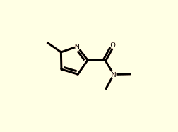 CC1C=CC(C(=O)N(C)C)=N1